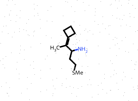 CSCCC(N)C(C)=C1CCC1